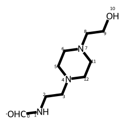 O=[C]NCCN1CCN(CCO)CC1